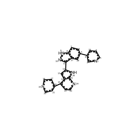 c1cncc(-c2ccc3[nH]nc(-c4cc5c(-c6ccncc6)ccnc5[nH]4)c3c2)c1